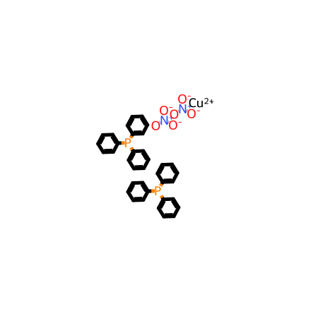 O=[N+]([O-])[O-].O=[N+]([O-])[O-].[Cu+2].c1ccc(P(c2ccccc2)c2ccccc2)cc1.c1ccc(P(c2ccccc2)c2ccccc2)cc1